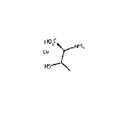 CC(S)[C@H](N)C(=O)O.[Cu]